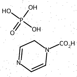 O=C(O)N1C=CN=CC1.O=P(O)(O)O